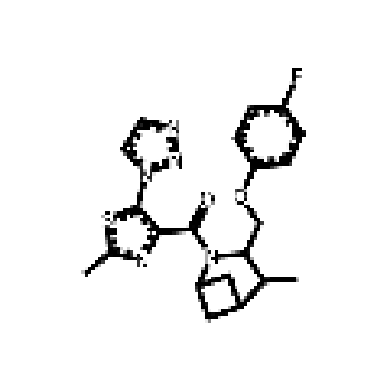 Cc1nc(C(=O)N2C3CC(C3)C(C)C2COc2ccc(F)cc2)c(-n2ccnn2)s1